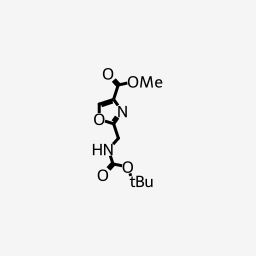 COC(=O)c1coc(CNC(=O)OC(C)(C)C)n1